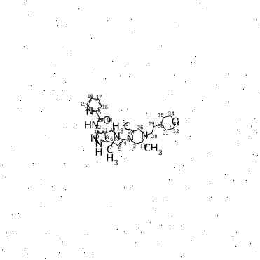 C[C@@H]1CN(C2=CC3(C)c4[nH]nc(NC(=O)c5ccccn5)c4CN23)[C@@H](C)CN1CCC1CCOCC1